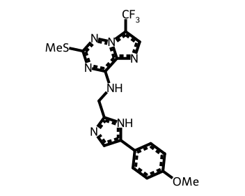 COc1ccc(-c2cnc(CNc3nc(SC)nn4c(C(F)(F)F)cnc34)[nH]2)cc1